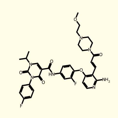 COCCN1CCN(C(=O)C=Cc2c(Oc3ccc(NC(=O)c4cn(C(C)C)c(=O)n(-c5ccc(F)cc5)c4=O)cc3F)ccnc2N)CC1